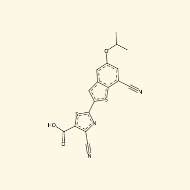 CC(C)Oc1cc(C#N)c2sc(-c3nc(C#N)c(C(=O)O)s3)cc2c1